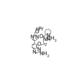 CCCOCc1ncc(-c2ccc3ncc(N)nc3c2OCC2(CNC(=O)C3CCCCCN3C)CC2)cn1